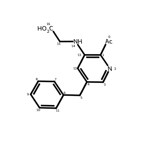 CC(=O)c1ncc(Cc2ccccc2)cc1NCC(=O)O